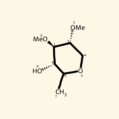 CO[C@H]1[C@H](OC)COC(C)[C@@H]1O